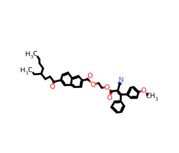 CCCCC(CC)CCC(=O)c1ccc2cc(C(=O)OCCOC(=O)/C(C#N)=C(\c3ccccc3)c3ccc(OC)cc3)ccc2c1